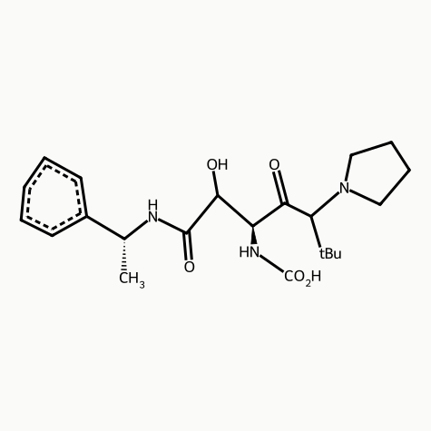 C[C@@H](NC(=O)C(O)[C@H](NC(=O)O)C(=O)C(N1CCCC1)C(C)(C)C)c1ccccc1